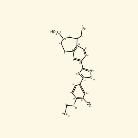 CC(C)CC1CN(C(=O)O)CCc2cc(-c3noc(-c4ccc(OCC(F)(F)F)c(C#N)c4)n3)ccc21